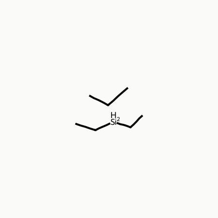 CCC.CC[SiH2]CC